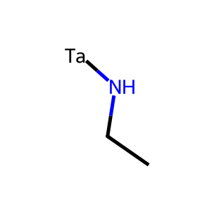 CC[NH][Ta]